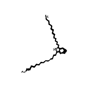 CC(=O)CCCCCCCCCCCCCCC1NC(CCCCCCCCCCCCCCC(C)=O)c2ccccc21